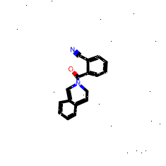 N#Cc1ccccc1C(=O)N1C=c2ccccc2=CC1